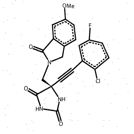 COc1ccc2c(c1)C(=O)N(C[C@@]1(C#Cc3cc(F)ccc3Cl)NC(=O)NC1=O)C2